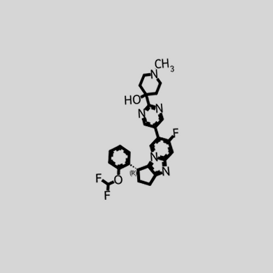 CN1CCC(O)(c2ncc(-c3cn4c5c(nc4cc3F)CC[C@@H]5c3ccccc3OC(F)F)cn2)CC1